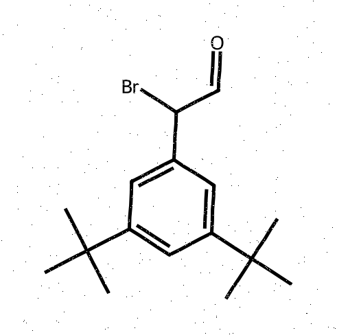 CC(C)(C)c1cc(C(Br)C=O)cc(C(C)(C)C)c1